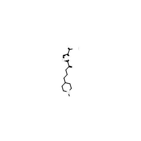 CN1CCC(CCCC(=O)c2ncc(C(=O)O)o2)CC1